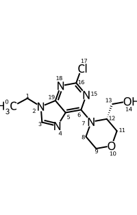 CCn1cnc2c(N3CCOC[C@H]3CO)nc(Cl)nc21